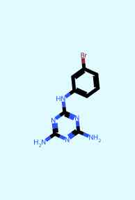 Nc1nc(N)nc(Nc2cccc(Br)c2)n1